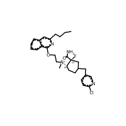 CCCCc1cc2ccccc2c(OCC[N+](C)(C)[C@H]2CCC(Cc3ccc(Cl)nc3)C[C@@]2(F)C(N)=O)n1